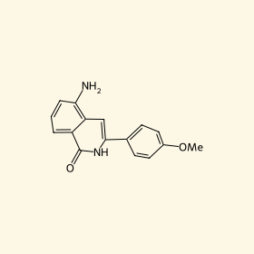 COc1ccc(-c2cc3c(N)cccc3c(=O)[nH]2)cc1